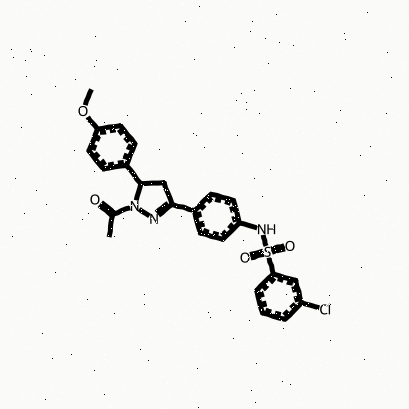 COc1ccc(C2CC(c3ccc(NS(=O)(=O)c4cccc(Cl)c4)cc3)=NN2C(C)=O)cc1